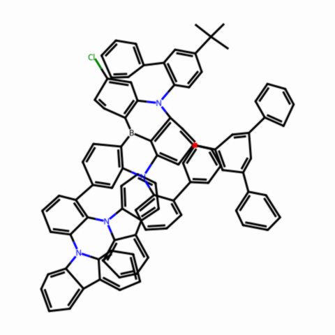 CC(C)(C)c1ccc(N2c3cc(Cl)ccc3B3c4ccc(-c5cccc(-n6c7ccccc7c7ccccc76)c5-n5c6ccccc6c6ccccc65)cc4N(c4ccccc4-c4ccccc4)c4cc(-c5cc(-c6ccccc6)cc(-c6ccccc6)c5)cc2c43)c(-c2ccccc2)c1